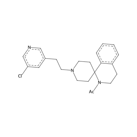 CC(=O)N1CCc2ccccc2C12CCN(CCc1cncc(Cl)c1)CC2